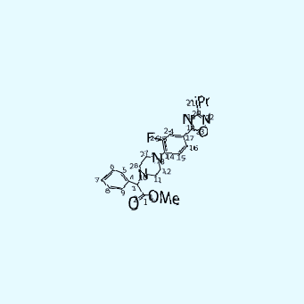 COC(=O)C(c1ccccc1)N1CCN(c2ccc(-c3nc(C(C)C)no3)cc2F)CC1